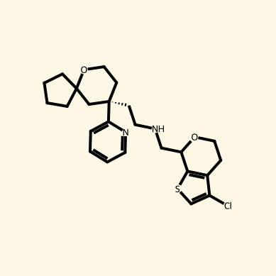 Clc1csc2c1CCOC2CNCC[C@@]1(c2ccccn2)CCOC2(CCCC2)C1